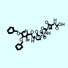 O=C(O)NC1CN(C(=O)NS(=O)(=O)N2CCN(NC(=O)c3ncc(OCc4ccccc4)c(OCc4ccccc4)c3Br)C2=O)C1=O